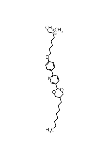 CCCCCCCCC1COC(c2ccc(-c3ccc(OCCCCC[C@@H](C)CC)cc3)nc2)OC1